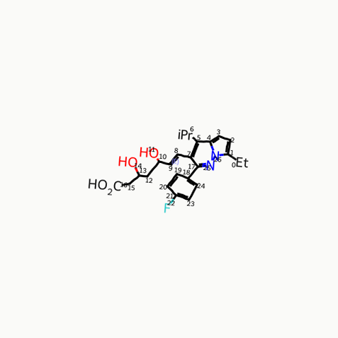 CCc1ccc2c(C(C)C)c(/C=C/C(O)CC(O)CC(=O)O)c(-c3ccc(F)cc3)nn12